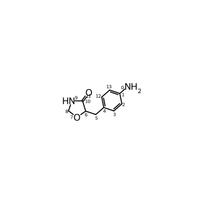 Nc1ccc(CC2OCNC2=O)cc1